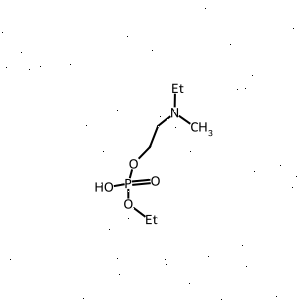 CCOP(=O)(O)OCCN(C)CC